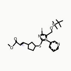 COC(=O)/C=C/C1CCC(Sc2nc(I)c(CO[Si](C)(C)C(C)(C)C)n2-c2cccnc2)C1